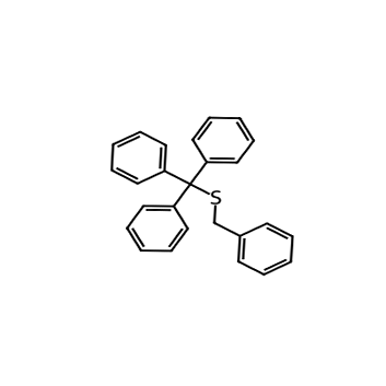 c1ccc(CSC(c2ccccc2)(c2ccccc2)c2ccccc2)cc1